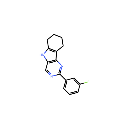 Fc1cccc(-c2ncc3[nH]c4c(c3n2)CCCC4)c1